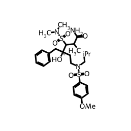 COc1ccc(S(=O)(=O)N(CC[C@](O)(Cc2ccccc2)C(C(C)C(N)=O)S(=O)(=O)N(C)C)CC(C)C)cc1